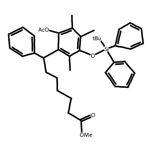 COC(=O)CCCCCC(c1ccccc1)c1c(C)c(O[Si](c2ccccc2)(c2ccccc2)C(C)(C)C)c(C)c(C)c1OC(C)=O